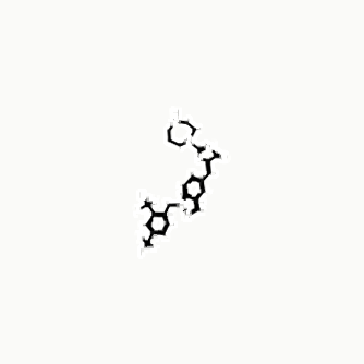 O=C1N=C(N2CCCNCC2)S/C1=C\c1ccc2c(cnn2Cc2ccc(C(F)(F)F)cc2C(F)(F)F)c1